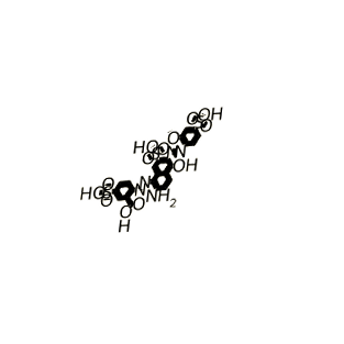 COc1cc(S(=O)(=O)O)ccc1N=Nc1c(S(=O)(=O)O)cc2c(/N=N/c3ccc(S(=O)(=O)O)cc3C(=O)O)c(N)ccc2c1O